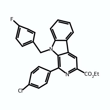 CCOC(=O)c1cc2c3ccccc3n(Cc3ccc(F)cc3)c2c(-c2ccc(Cl)cc2)n1